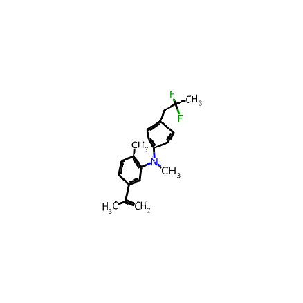 C=C(C)c1ccc(C)c(N(C)c2ccc(CC(C)(F)F)cc2)c1